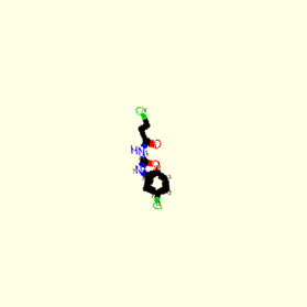 O=C(CCCl)Nc1nc2cc(Cl)ccc2o1